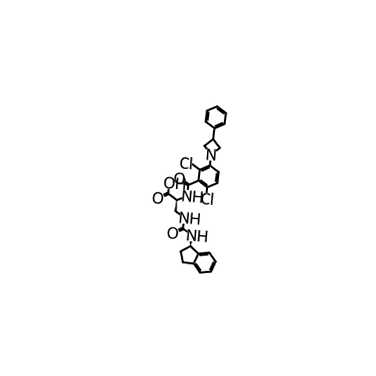 O=C(NC[C@H](NC(=O)c1c(Cl)ccc(N2CC(c3ccccc3)C2)c1Cl)C(=O)O)N[C@@H]1CCc2ccccc21